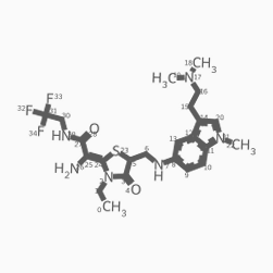 CCN1C(=O)C(CNc2ccc3c(c2)c(CCN(C)C)cn3C)S/C1=C(/N)C(=O)NCC(F)(F)F